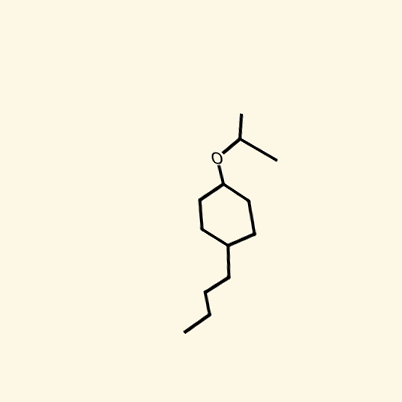 CCCCC1CCC(OC(C)C)CC1